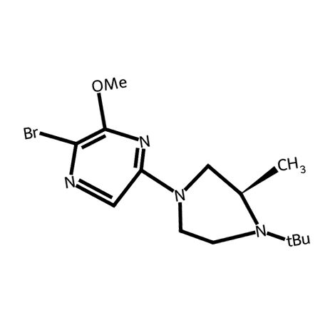 COc1nc(N2CCN(C(C)(C)C)[C@H](C)C2)cnc1Br